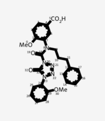 COc1ccc(C(=O)O)cc1N(CCCc1ccccc1)C(=O)n1nnn(-c2ccccc2OC)c1=O